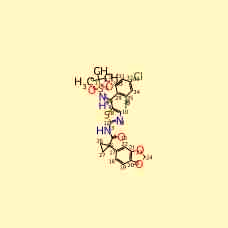 CC(C)(C)S(=O)(=O)N[C@H](c1cnc(NC(=O)C2(c3ccc4c(c3)OCO4)CC2)s1)c1ccc(Cl)cc1F